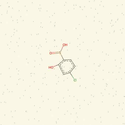 O=S(O)c1ccc(Cl)cc1O